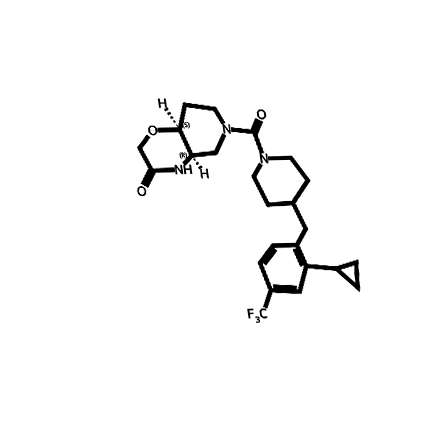 O=C1CO[C@H]2CCN(C(=O)N3CCC(Cc4ccc(C(F)(F)F)cc4C4CC4)CC3)C[C@H]2N1